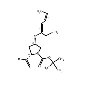 C/C=C\C=C(/CC)O[C@@H]1C[C@@H](C(=O)O)N(C(=O)OC(C)(C)C)C1